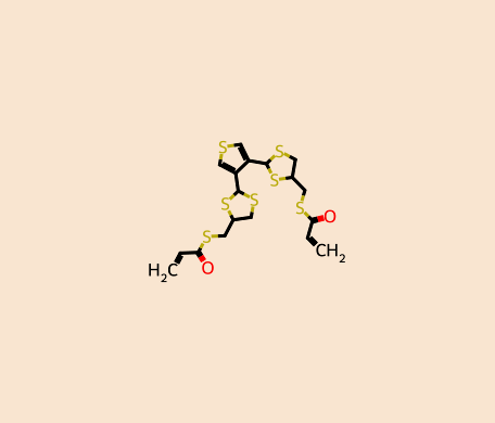 C=CC(=O)SCC1CSC(c2cscc2C2SCC(CSC(=O)C=C)S2)S1